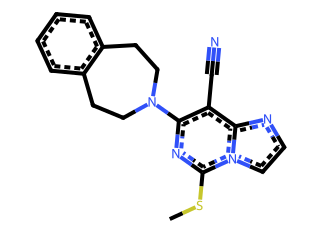 CSc1nc(N2CCc3ccccc3CC2)c(C#N)c2nccn12